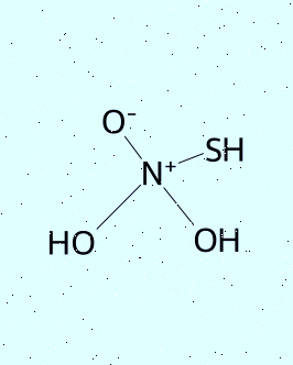 [O-][N+](O)(O)S